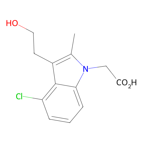 Cc1c(CCO)c2c(Cl)cccc2n1CC(=O)O